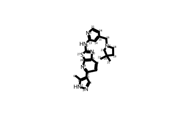 Cc1[nH]ncc1-c1ccc2nc(Nc3cc(CN4CCC(C)(C)C4)ccn3)sc2n1